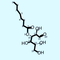 CCCCCCCC(=O)O[C@@H]([C@H](O)[C@H](O)CO)[C@@H](O)C=O